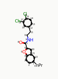 CCCc1ccc2oc(C(=O)NCCc3ccc(Cl)c(Cl)c3)cc2c1